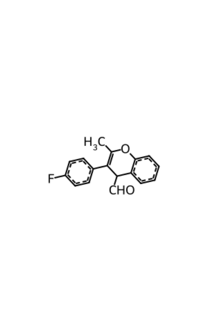 CC1=C(c2ccc(F)cc2)C(C=O)c2ccccc2O1